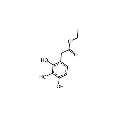 CCOC(=O)[CH]c1ccc(O)c(O)c1O